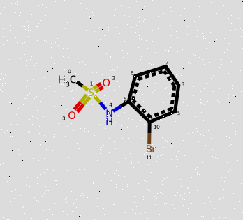 CS(=O)(=O)Nc1ccc[c]c1Br